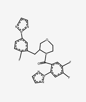 O=C(c1cc(F)c(F)cc1-n1nccn1)N1CCOCC1Cc1cc(-n2nccn2)ccc1F